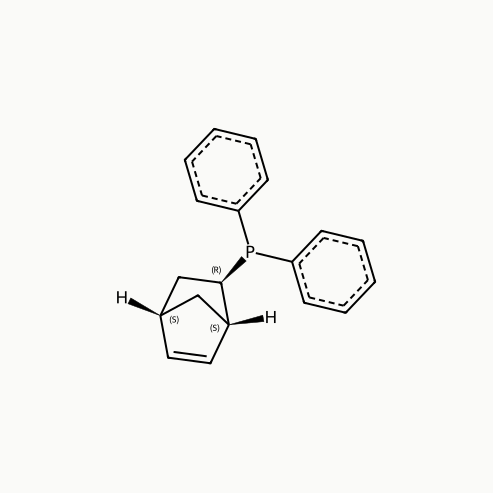 C1=C[C@@H]2C[C@H]1C[C@H]2P(c1ccccc1)c1ccccc1